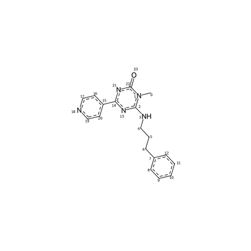 Cn1c(NCCCc2ccccc2)nc(-c2ccncc2)nc1=O